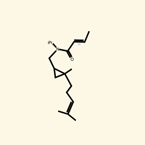 C/C=C/C(=O)N(CC1CC1(C)CCC=C(C)C)C(C)C